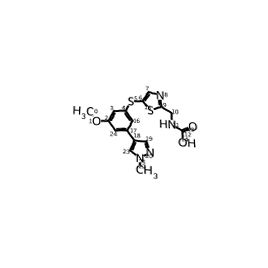 COc1cc(Sc2cnc(CNC(=O)O)s2)cc(-c2cnn(C)c2)c1